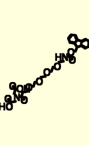 O=C(O)CN(CC(=O)O)C(=O)CCOCCOCCOCCOCCNC(=O)OCC1c2ccccc2-c2ccccc21